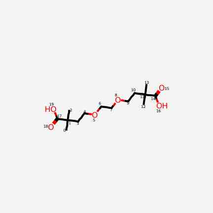 CC(C)(CCOCCOCCC(C)(C)C(=O)O)C(=O)O